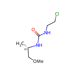 COC[C@H](C)NC(=O)NCCCl